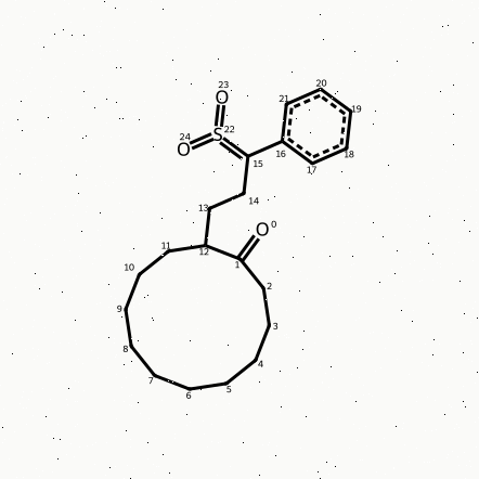 O=C1CCCCCCCCCCC1CCC(c1ccccc1)=S(=O)=O